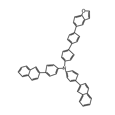 c1ccc2cc(-c3ccc(N(c4ccc(-c5ccc(-c6ccc7occc7c6)cc5)cc4)c4ccc(-c5ccc6ccccc6c5)cc4)cc3)ccc2c1